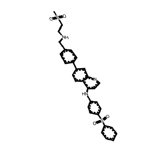 CS(=O)(=O)CCNCc1ccc(-c2ccc3c(Nc4ccc(S(=O)(=O)c5ccccc5)cc4)ccnc3c2)cc1